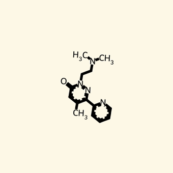 Cc1cc(=O)n(CCN(C)C)nc1-c1ccccn1